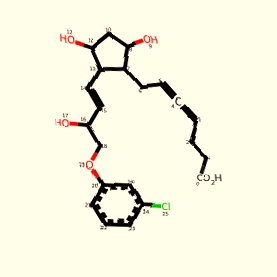 O=C(O)CCC=C=CCC1C(O)CC(O)C1C=CC(O)COc1cccc(Cl)c1